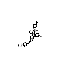 O=C(NCc1ccc(F)cc1)n1c2c(c3cc(F)ccc31)CN(CC=Cc1ccc(Cl)cc1)CC2